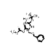 COC(=O)OC(=O)[C@@H](COCc1ccccc1)NC(=O)OC(C)(C)C